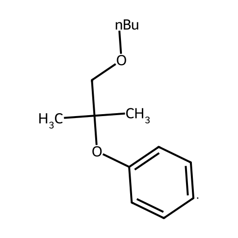 CCCCOCC(C)(C)Oc1cc[c]cc1